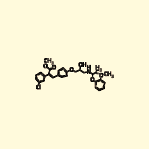 COC(=O)C(=Cc1ccc(OCC(O)CNC(C)Oc2ccccc2OC)cc1)c1cccc(Cl)c1